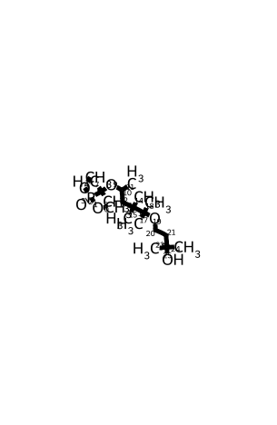 COP(=O)(OC)C(C)(C)OC(C)CC(C)(C)C(C)(C)OCCC(C)(C)O